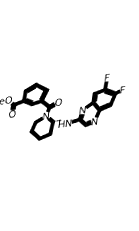 COC(=O)c1cccc(C(=O)N2CCCC[C@H]2CNc2cnc3cc(F)c(F)cc3n2)c1